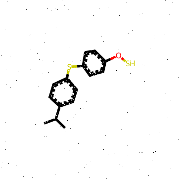 CC(C)c1ccc(Sc2ccc(OS)cc2)cc1